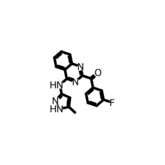 Cc1cc(Nc2nc(C(=O)c3cccc(F)c3)nc3ccccc23)n[nH]1